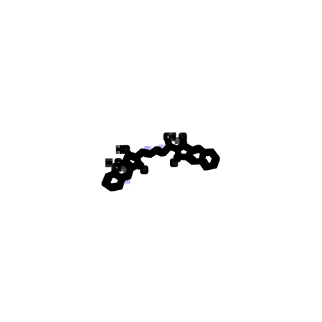 C=c1cccc/c1=C/C1=C(C)C(O)=C(/C=C/C=C/C(C)C2C(=O)c3cc4ccccc4cc3C2=O)C1=O